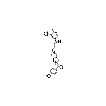 COc1ccc(C(=O)N2CC3CN(CCCNc4ccc(C)c(Cl)c4)CC3C2)cc1